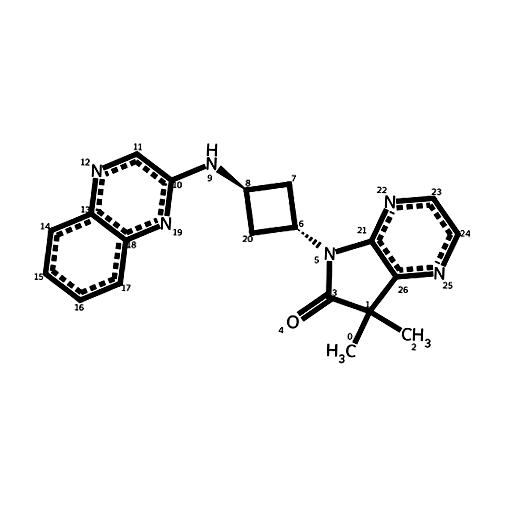 CC1(C)C(=O)N([C@H]2C[C@H](Nc3cnc4ccccc4n3)C2)c2nccnc21